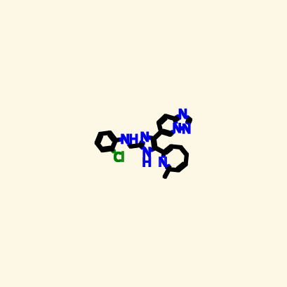 CC1=N/C(c2[nH]c(CNc3ccccc3Cl)nc2-c2ccc3ncnn3c2)=CCC/C=C\1